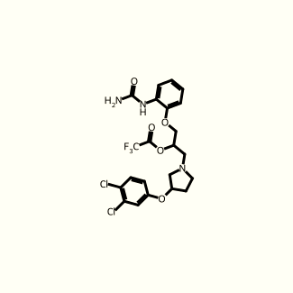 NC(=O)Nc1ccccc1OCC(CN1CCC(Oc2ccc(Cl)c(Cl)c2)C1)OC(=O)C(F)(F)F